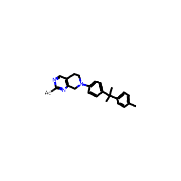 CC(=O)c1ncc2c(n1)CN(c1ccc(C(C)(C)c3ccc(C)cc3)cc1)CC2